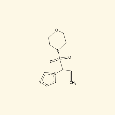 C=CC(n1ccnc1)S(=O)(=O)N1CCOCC1